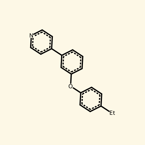 CCc1ccc(Oc2cccc(-c3ccncc3)c2)cc1